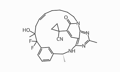 Cc1nc2c3cc(C4(C#N)CC4)c(=O)n(c3n1)CCCC/C=C\CC(C)(O)C(F)(F)c1cccc(c1)[C@@H](C)N2